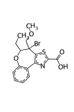 CCC1Oc2ccccc2-c2nc(C(=O)O)sc2C1(Br)COC